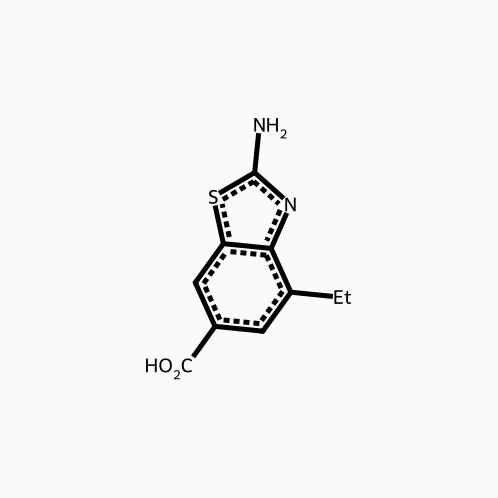 CCc1cc(C(=O)O)cc2sc(N)nc12